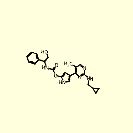 Cc1cnc(NCC2CC2)nc1-c1c[nH]c(OC(=O)NC(CO)c2ccccc2)c1